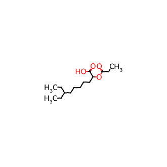 CCC(=O)OC(CCCCCC(CC)CC)C(=O)O